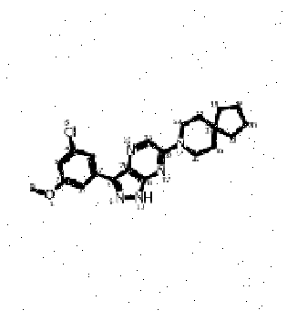 COc1cc(Cl)cc(-c2n[nH]c3nc(N4CCC5(CCCC5)CC4)cnc23)c1